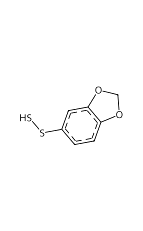 SSc1ccc2c(c1)OCO2